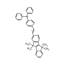 CC1(C)C2=C(c3ccccc31)C(C)(C)c1cc(/C=C/c3ccc(N(c4ccccc4)c4ccccc4)cc3)ccc12